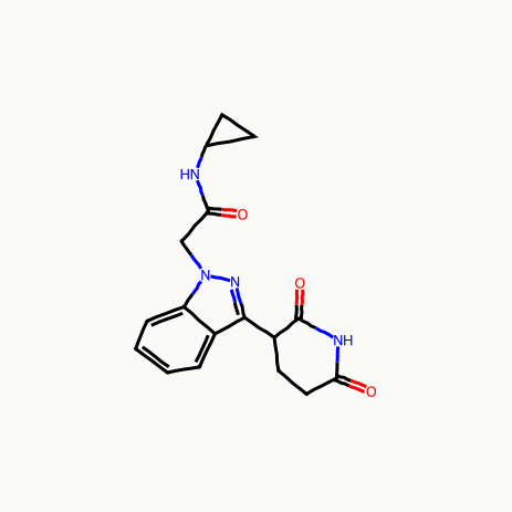 O=C1CCC(c2nn(CC(=O)NC3CC3)c3ccccc23)C(=O)N1